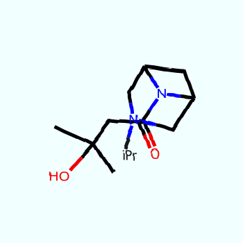 CC(C)N1CC2CC(C1)N2C(=O)CC(C)(C)O